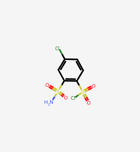 NS(=O)(=O)c1cc(Cl)ccc1S(=O)(=O)Cl